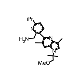 COCC(C)(C)n1cc(C)c2nc(-c3ccc(C(C)C)nc3CN)c(C)cc21